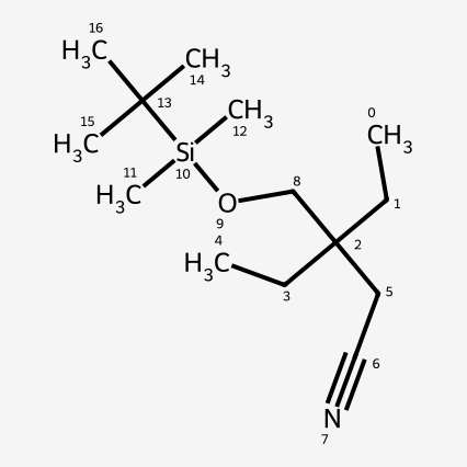 CCC(CC)(CC#N)CO[Si](C)(C)C(C)(C)C